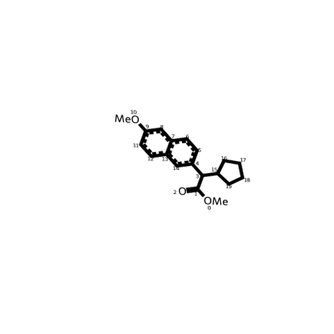 COC(=O)C(c1ccc2cc(OC)ccc2c1)C1CCCC1